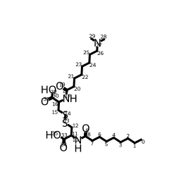 CCCCCCCCC(=O)NC(CSSCC(NC(=O)CCCCCCCN(C)C)C(=O)O)C(=O)O